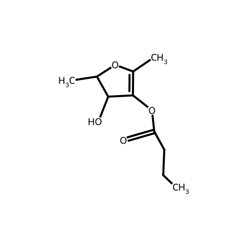 CCCC(=O)OC1=C(C)OC(C)C1O